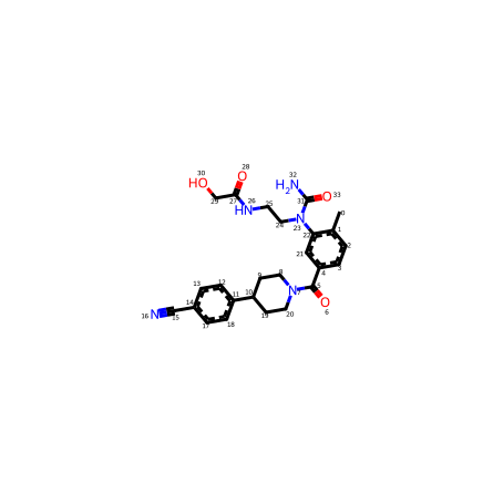 Cc1ccc(C(=O)N2CCC(c3ccc(C#N)cc3)CC2)cc1N(CCNC(=O)CO)C(N)=O